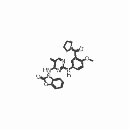 COc1ccc(Nc2ncc(C)c(Nn3c(=O)oc4ccccc43)n2)cc1C(=O)N1CCCC1